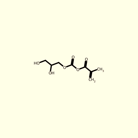 C=C(C)C(=O)OC(=O)OCC(O)CO